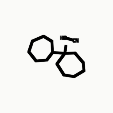 CC1(C2CCCCCC2)CCCCCC1.N#CO